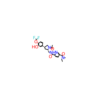 CCN(C)C(=O)c1ccc(C(=O)NC[C@H]2C[C@@H](c3ccc(OC(F)F)c(O)c3)CN2C(C)=O)nc1